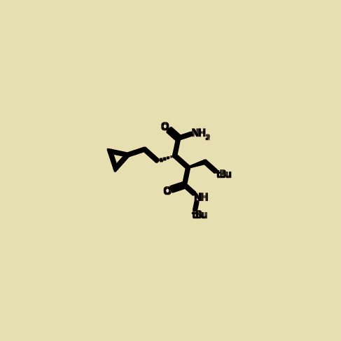 CC(C)(C)C[C@@H](C(=O)NC(C)(C)C)[C@H](CCC1CC1)C(N)=O